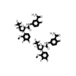 COc1c([C@@H]2C[C@](C)(C(F)(F)F)O[C@H]2C(=O)Nc2ccc(F)c(C(N)=O)c2)ccc(F)c1F.COc1c([C@H]2C[C@@](C)(C(F)(F)F)O[C@@H]2C(=O)Nc2ccc(F)c(C(N)=O)c2)ccc(F)c1F